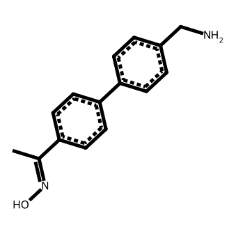 CC(=NO)c1ccc(-c2ccc(CN)cc2)cc1